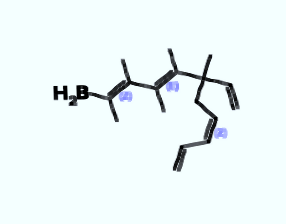 B/C(C)=C(C)/C(C)=C(\C)C(C)(C=C)C/C=C\C=C